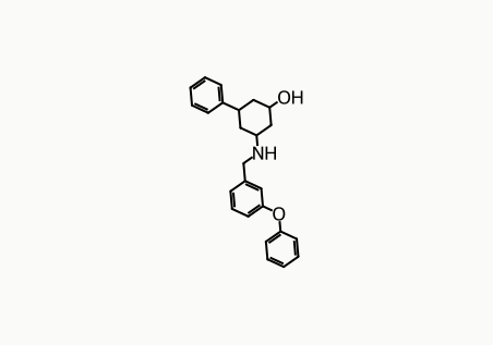 OC1CC(NCc2cccc(Oc3ccccc3)c2)CC(c2ccccc2)C1